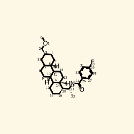 COC[C@H]1CC[C@H]2C(CC[C@@H]3C2CC[C@@]2(C)C3CCC[C@@H]2[C@@H](C)NC(=O)c2ccc(F)cc2)C1